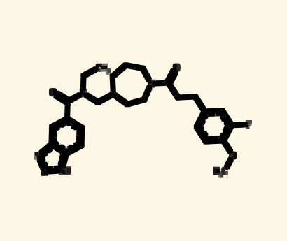 CCN(CC1CCCN(C(=O)CCc2ccc(OC)c(F)c2)CC1)C(=O)c1ccc2[nH]nnc2c1